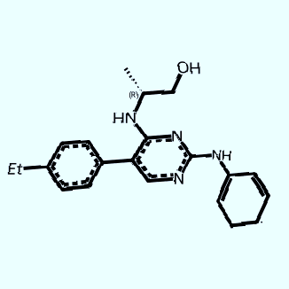 CCc1ccc(-c2cnc(NC3=CC[CH]C=C3)nc2N[C@H](C)CO)cc1